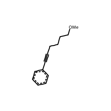 COCCCCC#Cc1ccccc1